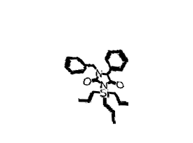 CCC[Si](CCC)(CCC)N1C(=O)C(c2ccccc2)N(Cc2ccccc2)C1=O